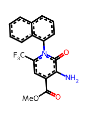 COC(=O)c1cc(C(F)(F)F)n(-c2cccc3ccccc23)c(=O)c1N